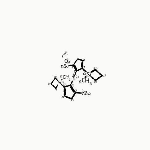 CCCCC1=[C]([Ti+2][C]2=C(CCCC)CC=C2[Si]2(C)CCC2)C([Si]2(C)CCC2)=CC1.[Cl-].[Cl-]